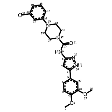 COc1ccc(-c2cc(NC(=O)N3CCN(c4cccc(Cl)c4)CC3)n[nH]2)cc1OC